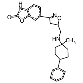 CC1(NCC2CC(c3ccc4[nH]c(=O)oc4c3)=NO2)CCC(c2ccccc2)CC1